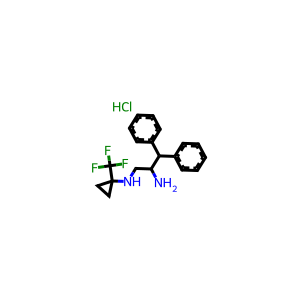 Cl.NC(CNC1(C(F)(F)F)CC1)C(c1ccccc1)c1ccccc1